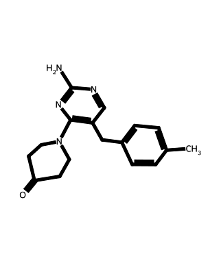 Cc1ccc(Cc2cnc(N)nc2N2CCC(=O)CC2)cc1